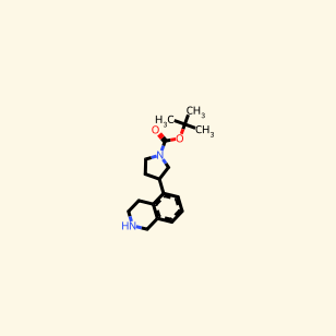 CC(C)(C)OC(=O)N1CCC(c2cccc3c2CCNC3)C1